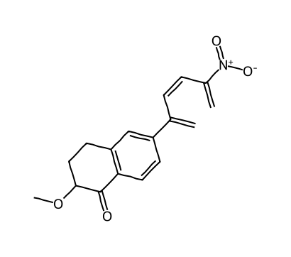 C=C(/C=C\C(=C)[N+](=O)[O-])c1ccc2c(c1)CCC(OC)C2=O